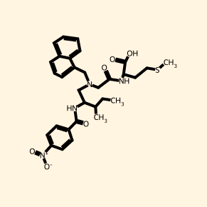 CCC(C)C(CN(CC(=O)NC(CCSC)C(=O)O)Cc1cccc2ccccc12)NC(=O)c1ccc([N+](=O)[O-])cc1